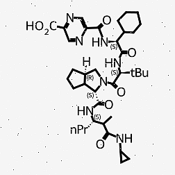 CCC[C@H](NC(=O)[C@@H]1C2CCC[C@H]2CN1C(=O)[C@@H](NC(=O)[C@@H](NC(=O)c1cnc(C(=O)O)cn1)C1CCCCC1)C(C)(C)C)C(C)C(=O)NC1CC1